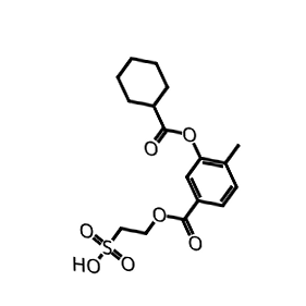 Cc1ccc(C(=O)OCCS(=O)(=O)O)cc1OC(=O)C1CCCCC1